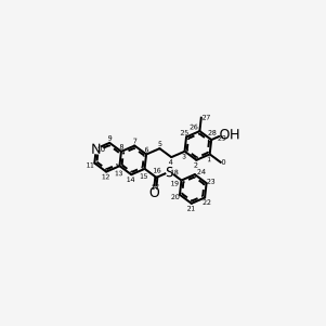 Cc1cc(CCc2cc3cnccc3cc2C(=O)Sc2ccccc2)cc(C)c1O